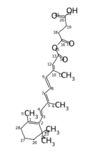 CC1=C(/C=C/C(C)=C/C=C/C(C)=C/C(=O)OC(=O)CCC(=O)O)C(C)(C)CCC1